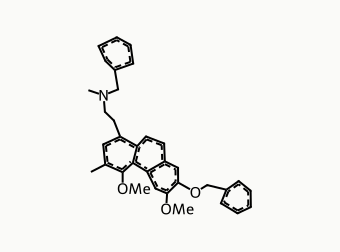 COc1cc2c(ccc3c(CCN(C)Cc4ccccc4)cc(C)c(OC)c32)cc1OCc1ccccc1